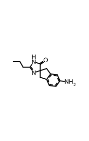 CCCC1=NC2(Cc3ccc(N)cc3C2)C(=O)N1